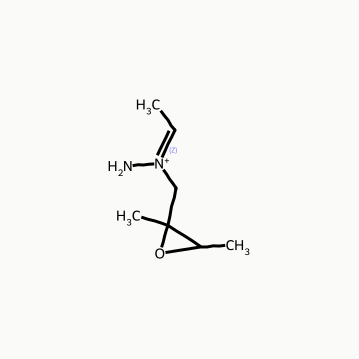 C/C=[N+](\N)CC1(C)OC1C